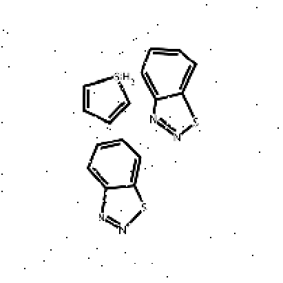 C1=C[SiH2]C=C1.c1ccc2snnc2c1.c1ccc2snnc2c1